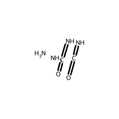 N.N.N=C=O.N=C=O